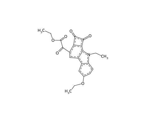 CCOC(=O)C(=O)c1cc2c3cc(OCC)ccc3n(CC)c2c2c(=O)c(=O)c12